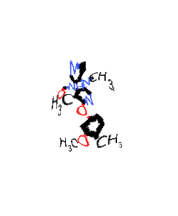 COc1cc(Oc2ncc(N(C)c3ccncc3NC=O)cc2C)ccc1C